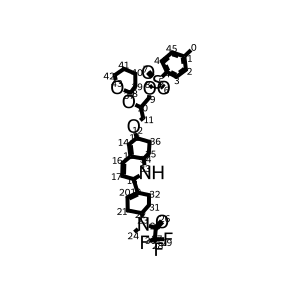 Cc1ccc(S(=O)(=O)OCC(COC2C=C3C=CC(C4=CCC(N(C)C(=O)C(F)(F)F)CC4)NC3CC2)OC2CCCCO2)cc1